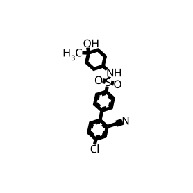 CC1(O)CCC(NS(=O)(=O)c2ccc(-c3ccc(Cl)cc3C#N)cc2)CC1